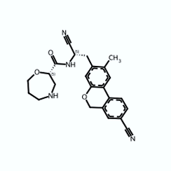 Cc1cc2c(cc1C[C@@H](C#N)NC(=O)[C@@H]1CNCCCO1)OCc1cc(C#N)ccc1-2